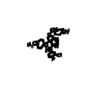 CC(Oc1cc(OC2CCN(C)CC2)c2c(Nc3ccc(F)c(Cl)c3)ncnc2c1)C1CCNCC1